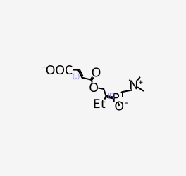 CC/C(COC(=O)/C=C/C(=O)[O-])=[P+](\[O-])CC[N+](C)(C)C